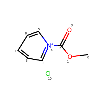 COC(=O)[n+]1ccccc1.[Cl-]